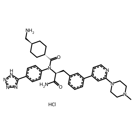 CN1CCN(c2cc(-c3cccc(C[C@@H](C(N)=O)N(c4ccc(-c5nnn[nH]5)cc4)C(=O)[C@H]4CC[C@H](CN)CC4)c3)ccn2)CC1.Cl